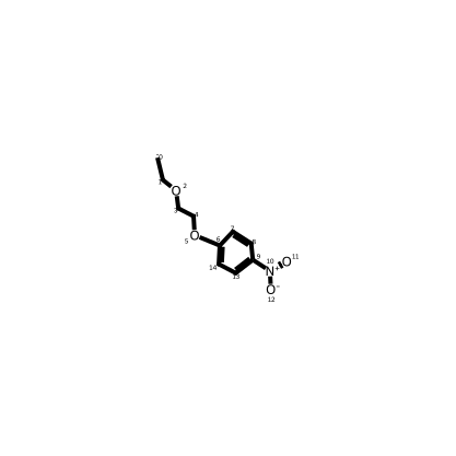 [CH2]COCCOc1ccc([N+](=O)[O-])cc1